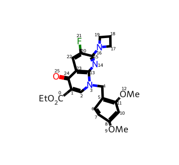 CCOC(=O)c1cn(Cc2ccc(OC)cc2OC)c2nc(N3CCC3)c(F)cc2c1=O